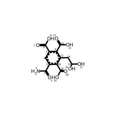 NC(=O)c1cc(C(=O)O)c(C(=O)O)c(CC(O)O)c1C(=O)O